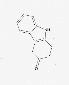 O=C1CCc2[nH]c3ccccc3c2C1